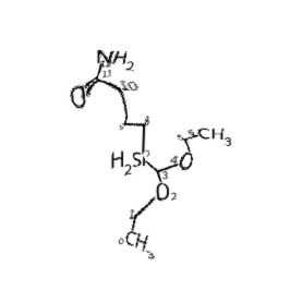 CCOC(OCC)[SiH2]CCCC(N)=O